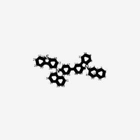 c1ccc2cc(-n3c4ccccc4c4cc(-c5ccc(N(c6ccc7sc8ccccc8c7c6)c6cccc7ccccc67)cc5)ccc43)ccc2c1